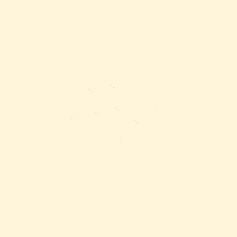 Cc1ccc(CC(CN2CCN(CC(=O)O)CCN(CC(=O)O)CCN(CC(=O)O)CC2)CN(CC(=O)O)CC(=O)O)cc1